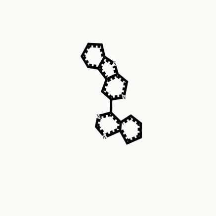 c1ccc2c(-c3cc4c(cn3)sc3ccccc34)ncnc2c1